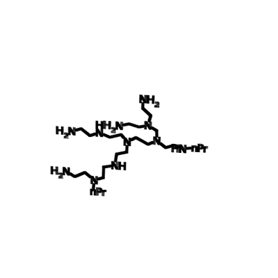 CCCNCCN(CCN(CCNCCN)CCNCCN(CCC)CCN)CN(CCN)CCN